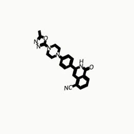 Cc1nnc(N2CCN(c3ccc(-c4cc5c(C#N)cccc5c(=O)[nH]4)cc3)CC2)o1